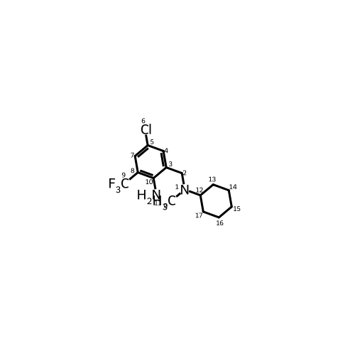 CN(Cc1cc(Cl)cc(C(F)(F)F)c1N)C1CCCCC1